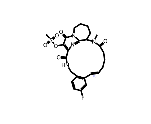 CN1C(=O)CCC/C=C/c2cc(F)ccc2CNC(=O)c2nc3n(c(=O)c2OS(C)(=O)=O)CCCCC31